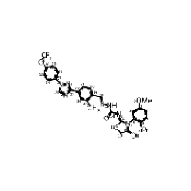 COc1ccc(C(C)C)c(N2C(=O)CS/C2=N\C(=O)N/N=C/c2ccc(-c3ncn(-c4ccc(OC(F)(F)F)cc4)n3)cc2C)c1